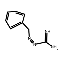 N=C(N)/N=N\Cc1ccccc1